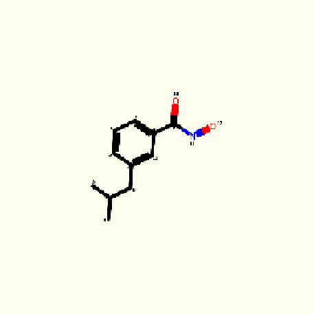 CC(C)Cc1cccc(C(=O)N=O)c1